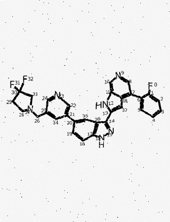 Fc1ccccc1-c1cncc2[nH]c(-c3n[nH]c4ccc(-c5cncc(CN6CCC(F)(F)C6)c5)cc34)cc12